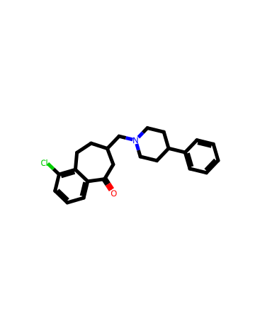 O=C1CC(CN2CCC(c3ccccc3)CC2)CCc2c(Cl)cccc21